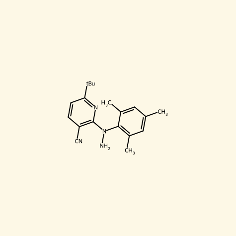 Cc1cc(C)c(N(N)c2nc(C(C)(C)C)ccc2C#N)c(C)c1